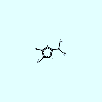 CC(S)c1cc(Cl)c(Cl)s1